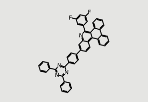 Fc1cc(F)cc(-c2nc3cc(-c4ccc(-c5nc(-c6ccccc6)nc(-c6ccccc6)n5)cc4)ccc3c3c4ccccc4c4ccccc4c23)c1